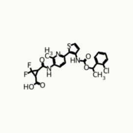 Cc1nc(-c2sccc2NC(=O)OC(C)c2ccccc2Cl)ccc1NC(=O)C1C(C(=O)O)C1(F)F